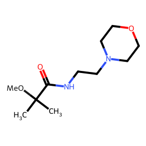 COC(C)(C)C(=O)NCCN1CCOCC1